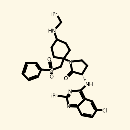 CC(C)CNC1CCC(CS(=O)(=O)c2ccccc2)(N2CC[C@H](Nc3nc(C(C)C)nc4ccc(Cl)cc34)C2=O)CC1